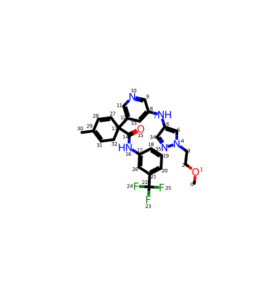 COCCn1cc(Nc2cncc(C3(C(=O)Nc4cccc(C(F)(F)F)c4)C=CC(C)=CC3)c2)cn1